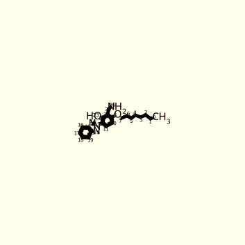 CCCCCCCCOc1ccc(-n2nc3ccccc3n2)c(O)c1CN